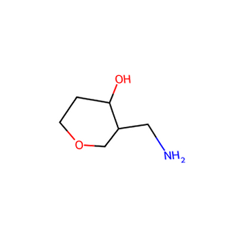 NCC1COCCC1O